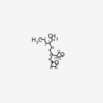 CCCC(CC)CC[C](CC1CCO1)C1COC1